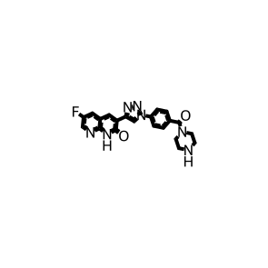 O=C(c1ccc(-n2cc(-c3cc4cc(F)cnc4[nH]c3=O)nn2)cc1)N1CCNCC1